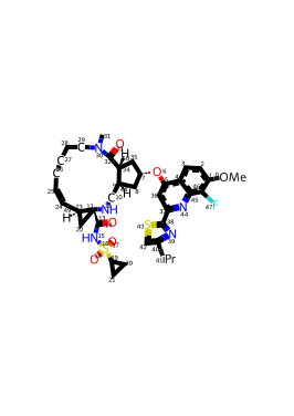 COc1ccc2c(O[C@@H]3C[C@H]4CN[C@]5(C(=O)NS(=O)(=O)C6CC6)C[C@H]5/C=C\CCCCN(C)C(=O)[C@@H]4C3)cc(-c3nc(C(C)C)cs3)nc2c1F